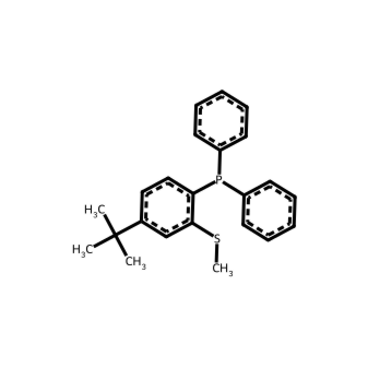 CSc1cc(C(C)(C)C)ccc1P(c1ccccc1)c1ccccc1